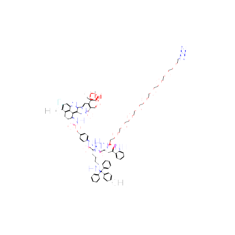 CC[C@@]1(O)C(=O)OCc2c1cc1n(c2=O)Cc2c-1nc1cc(F)c(C)c3c1c2[C@@H](NC(=O)OCc1ccc(NC(=O)[C@H](CCCCNC(c2ccccc2)(c2ccccc2)c2ccc(C)cc2)NC(=O)[C@H](Cc2c[nH]c4ccccc24)NC(=O)CCOCCOCCOCCOCCOCCOCCOCCOCCOCCN=[N+]=[N-])cc1)CC3